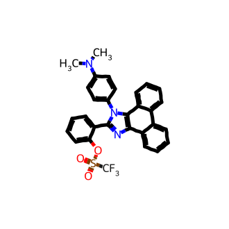 CN(C)c1ccc(-n2c(-c3ccccc3OS(=O)(=O)C(F)(F)F)nc3c4ccccc4c4ccccc4c32)cc1